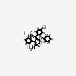 CNc1c(C(C(N)=O)c2ccccc2)c(=O)n(-c2ccccc2)c2cc(Cl)ccc12